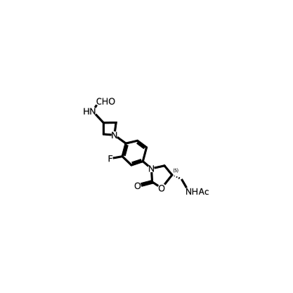 CC(=O)NC[C@H]1CN(c2ccc(N3CC(NC=O)C3)c(F)c2)C(=O)O1